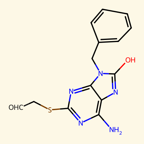 Nc1nc(SCC=O)nc2c1nc(O)n2Cc1ccccc1